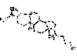 CC(C)CCCCC1CCC2C3CC=C4CC(N(C)C)CCC4(C)C3CCC12C